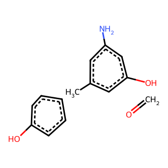 C=O.Cc1cc(N)cc(O)c1.Oc1ccccc1